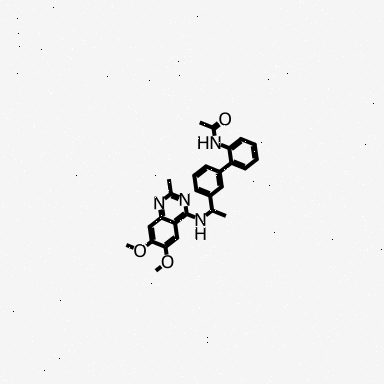 COc1cc2nc(C)nc(NC(C)c3cccc(-c4ccccc4NC(C)=O)c3)c2cc1OC